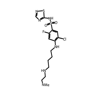 CNCCNCCCCNc1cc(F)c(S(=O)(=O)Nc2ncns2)cc1Cl